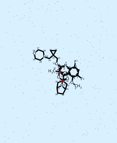 COc1c(F)cc(F)c2nc(OCC3(CN4CCOCC4)CC3)nc(N3CC4CCC(C3)N4C(=O)OC(C)(C)C)c12